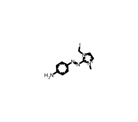 C[n+]1ccn(CI)c1N=Nc1ccc(N)cc1